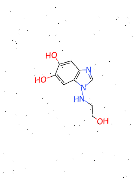 OCCNn1cnc2cc(O)c(O)cc21